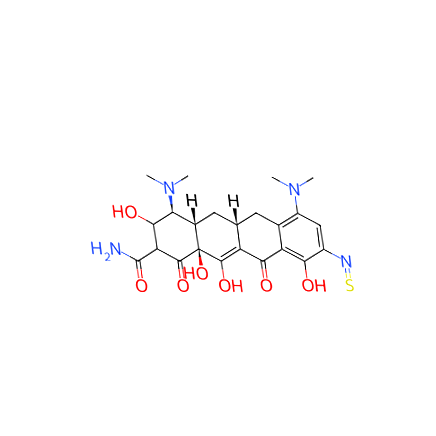 CN(C)c1cc(N=S)c(O)c2c1C[C@H]1C[C@H]3[C@H](N(C)C)C(O)C(C(N)=O)C(=O)[C@@]3(O)C(O)=C1C2=O